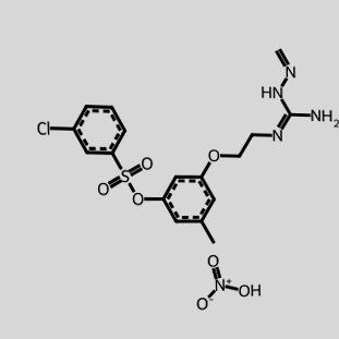 C=NNC(N)=NCCOc1cc(C)cc(OS(=O)(=O)c2cccc(Cl)c2)c1.O=[N+]([O-])O